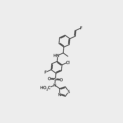 CC(Nc1cc(F)c(S(=O)(=O)N(C(=O)O)c2cscn2)cc1Cl)c1cccc(C=CF)c1